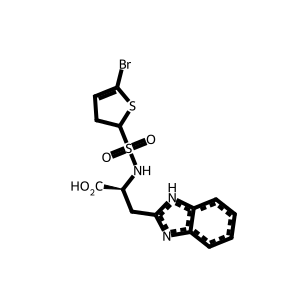 O=C(O)[C@H](Cc1nc2ccccc2[nH]1)NS(=O)(=O)C1CC=C(Br)S1